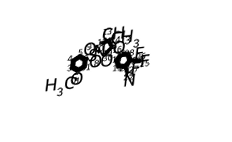 COc1cccc(S(=O)(=O)N2CC(C)(C)C(Oc3ccc(C#N)c(C(F)(F)F)c3)C2=O)c1